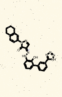 O=C1/C(=N\Nc2cccc(-c3cccc(-c4nnn[nH]4)c3)c2O)C=NN1c1ccc2c(c1)CCCC2